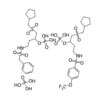 O=P(O)(O)O.O=P(O)(O)OC(CCNS(=O)(=O)Cc1ccccc1)CS(=O)(=O)CC1CCCC1.O=P(O)(O)OC(CCNS(=O)(=O)c1ccc(OC(F)(F)F)cc1)CS(=O)(=O)CC1CCCC1